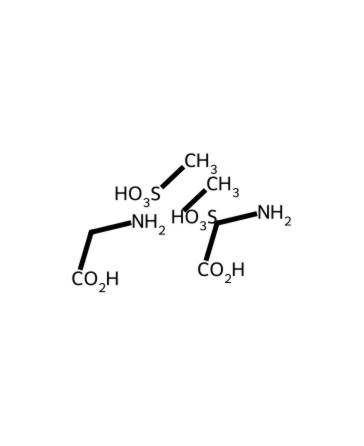 CS(=O)(=O)O.CS(=O)(=O)O.NCC(=O)O.NCC(=O)O